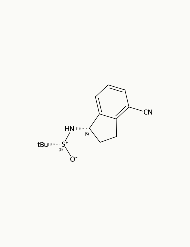 CC(C)(C)[S@@+]([O-])N[C@H]1CCc2c(C#N)cccc21